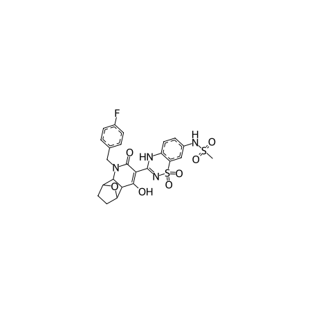 CS(=O)(=O)Nc1ccc2c(c1)S(=O)(=O)N=C(C1=C(O)C3C4CCC(O4)C3N(Cc3ccc(F)cc3)C1=O)N2